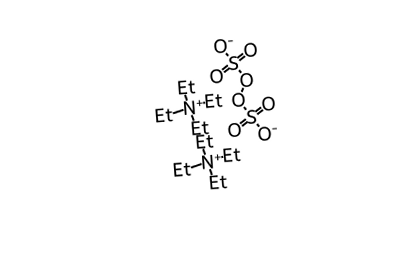 CC[N+](CC)(CC)CC.CC[N+](CC)(CC)CC.O=S(=O)([O-])OOS(=O)(=O)[O-]